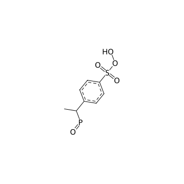 CC(P=O)c1ccc(S(=O)(=O)OO)cc1